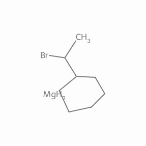 CC(Br)C1CCCCC1.[MgH2]